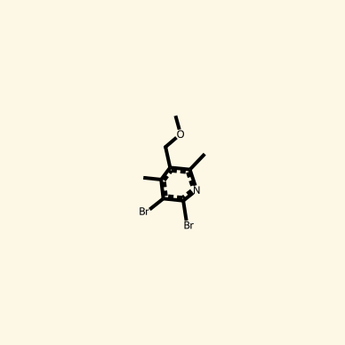 COCc1c(C)nc(Br)c(Br)c1C